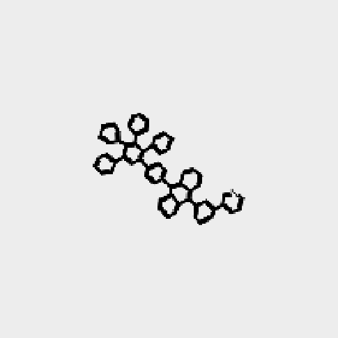 c1ccc(-c2cc(-c3ccc(-c4c5ccccc5c(-c5cccc(-c6cccnc6)c5)c5ccccc45)cc3)c(-c3ccccc3)c(-c3ccccc3)c2-c2ccccc2)cc1